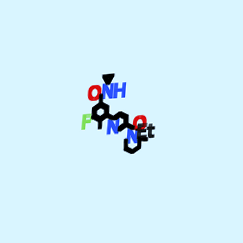 CCC1(C)CCCCN1C(=O)c1ccc(-c2cc(C(=O)NC3CC3)cc(F)c2C)nc1